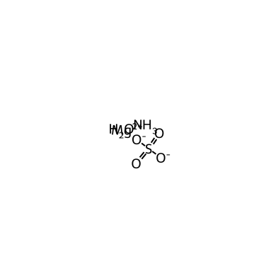 N.O.O=S(=O)([O-])[O-].[Mg+2]